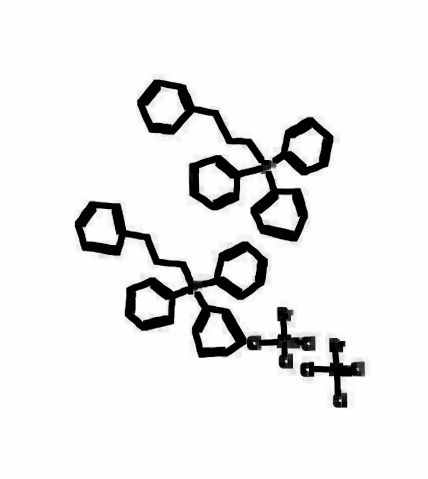 [Cl][Mn-]([Cl])([Cl])[Br].[Cl][Mn-]([Cl])([Cl])[Br].c1ccc(CCC[P+](c2ccccc2)(c2ccccc2)c2ccccc2)cc1.c1ccc(CCC[P+](c2ccccc2)(c2ccccc2)c2ccccc2)cc1